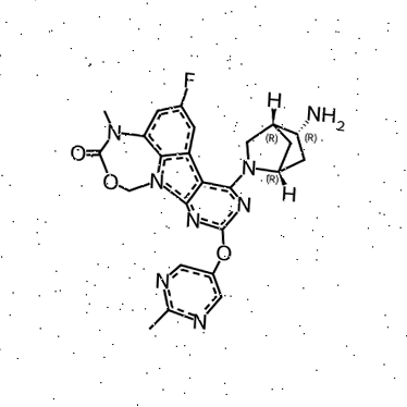 Cc1ncc(Oc2nc(N3C[C@H]4C[C@@H]3C[C@H]4N)c3c4cc(F)cc5c4n(c3n2)COC(=O)N5C)cn1